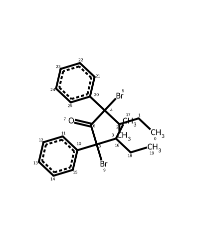 CCC(C)C(Br)(C(=O)C(Br)(c1ccccc1)C(C)CC)c1ccccc1